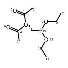 CC(=O)OC(C)=O.CCOP(C)OCC